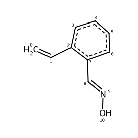 C=Cc1ccccc1C=NO